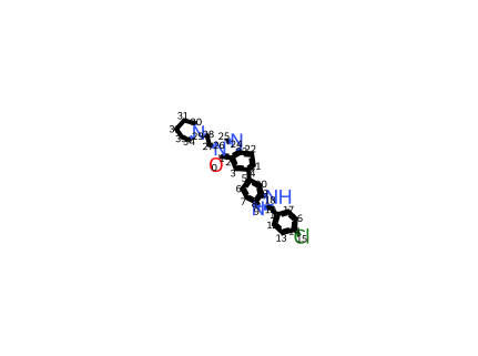 O=c1c2cc(-c3ccc4nc(-c5ccc(Cl)cc5)[nH]c4c3)ccc2ncn1CCN1CCCCC1